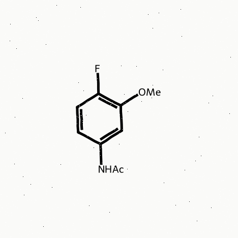 COc1cc(NC(C)=O)ccc1F